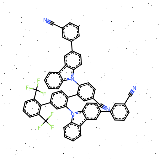 N#Cc1cccc(-c2ccc3c(c2)c2ccccc2n3-c2ccc(C#N)cc2-c2ccc(-c3c(C(F)(F)F)cccc3C(F)(F)F)cc2-n2c3ccccc3c3cc(-c4cccc(C#N)c4)ccc32)c1